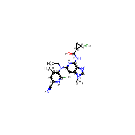 CCN(c1cc2c(ncn2C)c(NC(=O)[C@H]2C[C@H]2F)n1)c1c(C)cc(C#N)nc1F